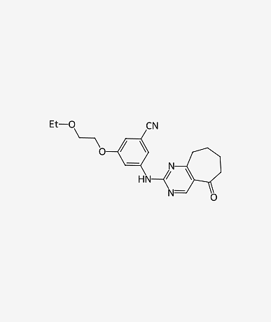 CCOCCOc1cc(C#N)cc(Nc2ncc3c(n2)CCCCC3=O)c1